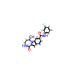 CC1CCNC(=O)c2cc3ccc(C(=O)Nc4cccc(F)c4)cc3n21